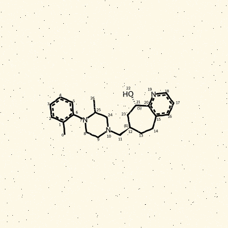 Cc1ccccc1N1CCN(C[C@@H]2CCc3cccnc3[C@@H](O)C2)CC1C